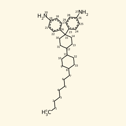 CCCCCCCCC1CCC(C2CCC(c3ccc(N)cc3)(c3ccc(N)cc3)CC2)CC1